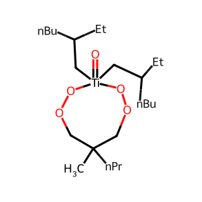 CCCCC(CC)[CH2][Ti]1(=[O])([CH2]C(CC)CCCC)[O]OCC(C)(CCC)CO[O]1